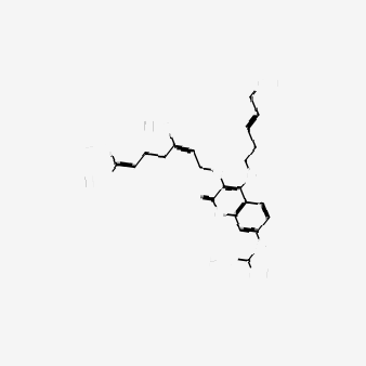 CCC=CCCOc1c(OCC=C(C)CCC=C(C)C)c(=O)oc2cc(OC(C)C)ccc12